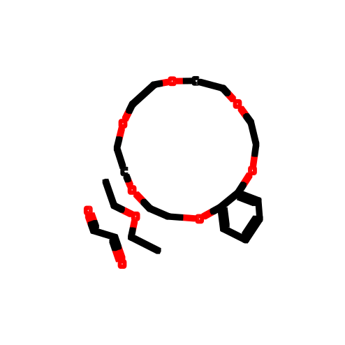 CCOCC.O=CC=O.c1ccc2c(c1)OCCOCCOCCOCCOCCO2